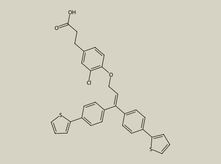 O=C(O)CCc1ccc(OCC=C(c2ccc(-c3cccs3)cc2)c2ccc(-c3cccs3)cc2)c(Cl)c1